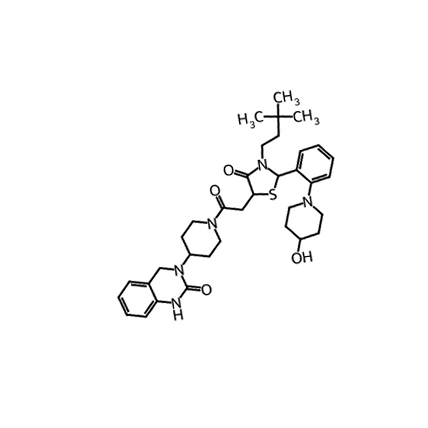 CC(C)(C)CCN1C(=O)C(CC(=O)N2CCC(N3Cc4ccccc4NC3=O)CC2)SC1c1ccccc1N1CCC(O)CC1